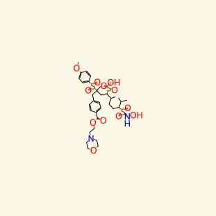 COc1ccc(S(=O)(=O)C(C)(Cc2ccc(C(=O)OCCN3CCOCC3)cc2)CC(C(C)CCC(C(C)C)S(=O)(=O)NO)S(=O)(=O)O)cc1